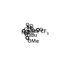 CNC(=O)[C@@H]1[C@@H](Cc2ccnc(N(Cc3ccc(OC)cc3)C(=O)OC(C)(C)C)c2)C(=O)N1C(=O)N1CCCC(c2ccc(OC(F)(F)F)cc2)C1